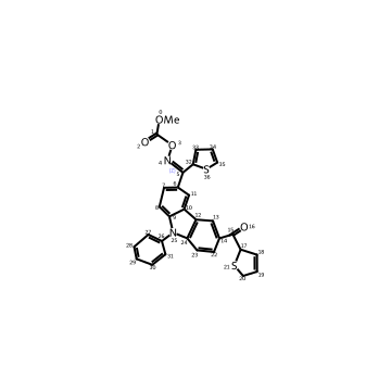 COC(=O)O/N=C(/c1ccc2c(c1)c1cc(C(=O)C3C=CCS3)ccc1n2-c1ccccc1)c1cccs1